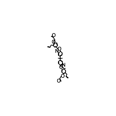 C=CCC1=C(OCC2CO2)C=CC(C)(c2nc3cc(C(C)(C)C4=CCC5OC(c6ccc(OCC7CO7)c(CC=C)c6)=NC5=C4)ccc3o2)C1